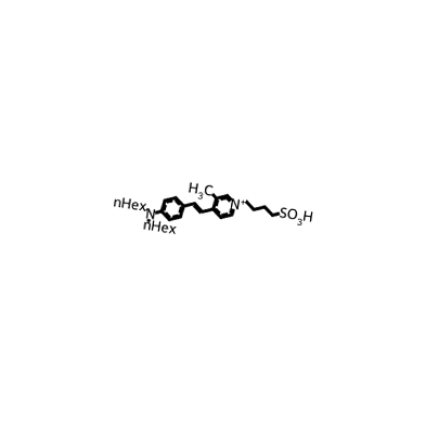 CCCCCCN(CCCCCC)c1ccc(/C=C/c2cc[n+](CCCCS(=O)(=O)O)cc2C)cc1